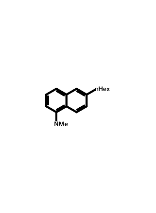 CCCCCCc1ccc2c(NC)cccc2c1